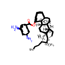 CC(C)CCC[C@@H](C)[C@H]1CC[C@H]2[C@@H]3CCC4CCC=C(OC(=O)c5cc(N)cc(N)c5)[C@]4(C)[C@H]3CC[C@]12C